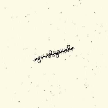 C=CC(=O)OCCCCOC(=O)CCC(=O)OCCCCOC(=O)C=C